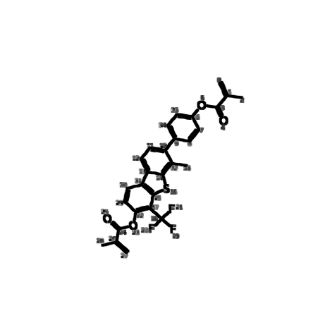 C=C(C)C(=O)Oc1ccc(-c2ccc3c(sc4c(C(F)(F)F)c(OC(=O)C(=C)C)ccc43)c2C)cc1